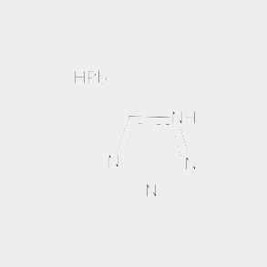 [PbH][c]1nnn[nH]1